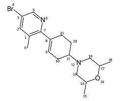 Cc1cc(Br)cnc1C1=CCC(N2CC(C)OC(C)C2)CC1